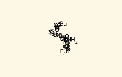 CC(C)(C)OC(=O)N1CC[C@@H](C(=O)N2CCC(O)(Cn3cnc(Oc4cccc(OC(F)(F)F)c4)c(N)c3=O)CC2)[C@H](c2ccccc2)C1